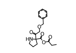 CCC(=O)OC(=O)C1(C(=O)COCc2ccccc2)CCCN1